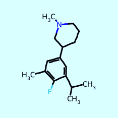 Cc1cc(C2CCCN(C)C2)cc(C(C)C)c1F